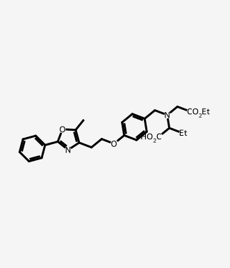 CCOC(=O)CN(Cc1ccc(OCCc2nc(-c3ccccc3)oc2C)cc1)C(CC)C(=O)O